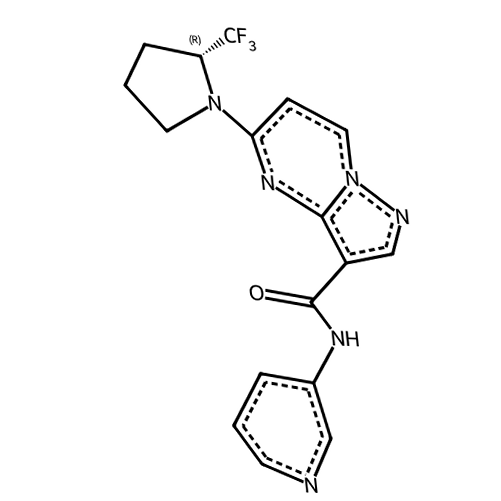 O=C(Nc1cccnc1)c1cnn2ccc(N3CCC[C@@H]3C(F)(F)F)nc12